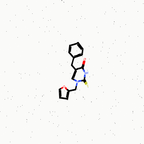 O=c1[nH]c(=S)n(Cc2ccco2)cc1Cc1ccccc1